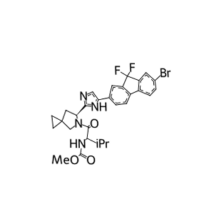 COC(=O)NC(C(=O)N1CC2(CC2)C[C@H]1c1ncc(-c2ccc3c(c2)C(F)(F)c2cc(Br)ccc2-3)[nH]1)C(C)C